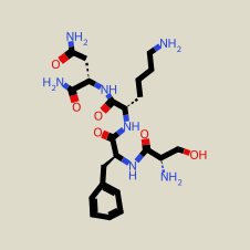 NCCCC[C@H](NC(=O)[C@H](Cc1ccccc1)NC(=O)[C@@H](N)CO)C(=O)N[C@@H](CC(N)=O)C(N)=O